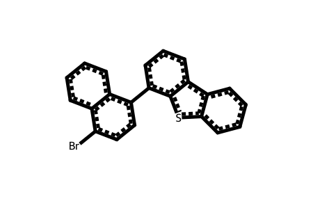 Brc1ccc(-c2cccc3c2sc2ccccc23)c2ccccc12